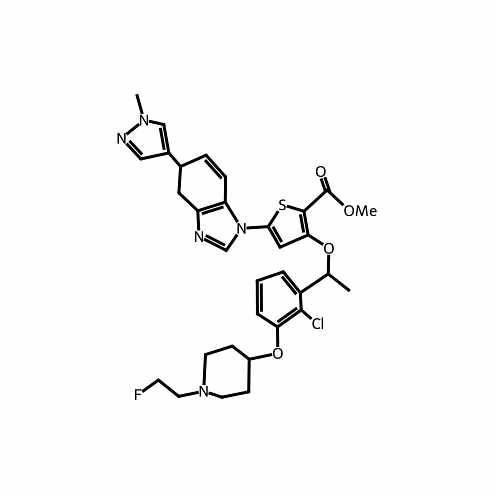 COC(=O)c1sc(-n2cnc3c2C=CC(c2cnn(C)c2)C3)cc1OC(C)c1cccc(OC2CCN(CCF)CC2)c1Cl